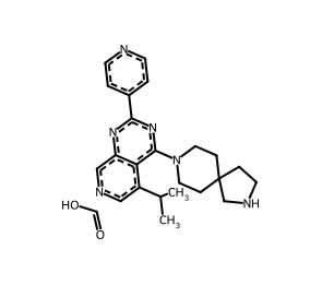 CC(C)c1cncc2nc(-c3ccncc3)nc(N3CCC4(CCNC4)CC3)c12.O=CO